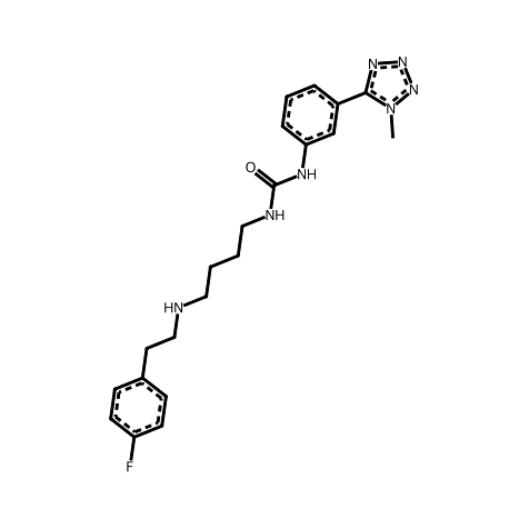 Cn1nnnc1-c1cccc(NC(=O)NCCCCNCCc2ccc(F)cc2)c1